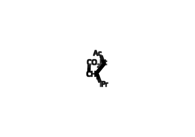 CC(=O)CCC(C)C.CCOC(C)=O